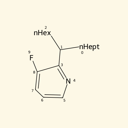 CCCCCCCC(CCCCCC)c1ncccc1F